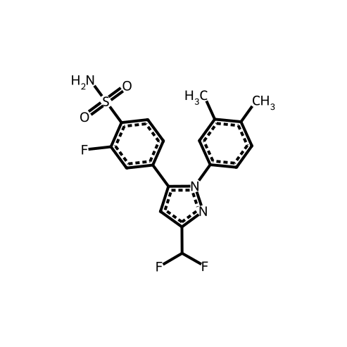 Cc1ccc(-n2nc(C(F)F)cc2-c2ccc(S(N)(=O)=O)c(F)c2)cc1C